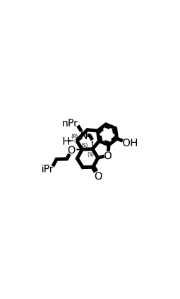 CCCN1CC[C@]23c4c5ccc(O)c4OC2C(=O)CC[C@@]3(OCCC(C)C)[C@H]1C5